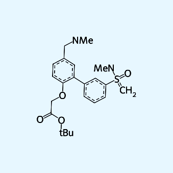 C=S(=O)(NC)c1cccc(-c2cc(CNC)ccc2OCC(=O)OC(C)(C)C)c1